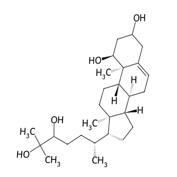 C[C@H](CCC(O)C(C)(C)O)[C@H]1CC[C@H]2[C@@H]3CC=C4CC(O)C[C@H](O)[C@]4(C)[C@H]3CC[C@]12C